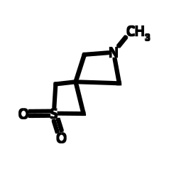 CN1CC2(C1)CS(=O)(=O)C2